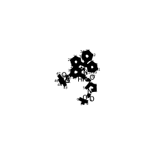 CC(C)(C)OC(=O)N1CC[C@@H](C(=O)Nc2nn(C(c3ccccc3)(c3ccccc3)c3ccccc3)c3ccc(B4OC(C)(C)C(C)(C)O4)cc23)C1